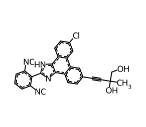 [C-]#[N+]c1cccc([N+]#[C-])c1-c1nc2c3ccc(C#CC(C)(O)CO)cc3c3cc(Cl)ccc3c2[nH]1